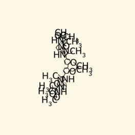 CCc1nc([C@@H]2CCCN2C(=O)[C@@H](NC(=O)OC)C(C)C)[nH]c1-c1ccc2c(c1)OCC(C)(C)COc1cc(-c3[nH]c([C@@H]4CCCN4C(=O)[C@@H](NC(=O)OC)C(C)C)nc3CC)ccc1-2